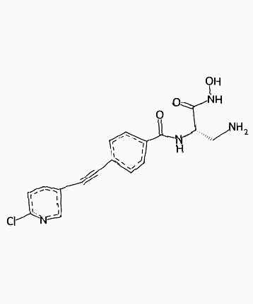 NC[C@H](NC(=O)c1ccc(C#Cc2ccc(Cl)nc2)cc1)C(=O)NO